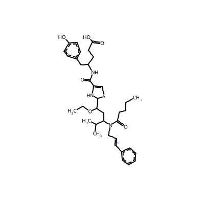 CCCCC(=O)N(C/C=C/c1ccccc1)C(CC(OCC)C1NC(C(=O)NC(CCC(=O)O)Cc2ccc(O)cc2)=CS1)C(C)C